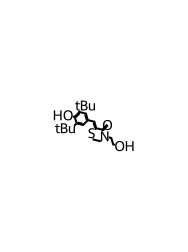 CC(C)(C)c1cc(C=C2SCCN(CCO)C2=O)cc(C(C)(C)C)c1O